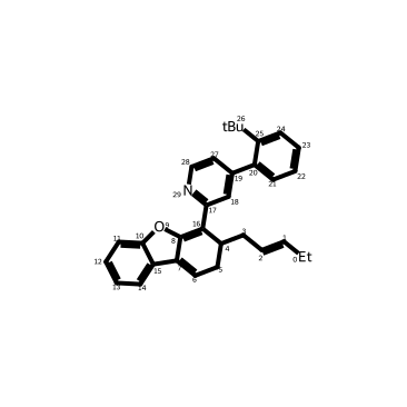 CCC=CCC1CC=c2c(oc3ccccc23)=C1c1cc(-c2ccccc2C(C)(C)C)ccn1